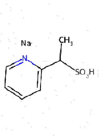 CC(c1ccccn1)S(=O)(=O)O.[Na]